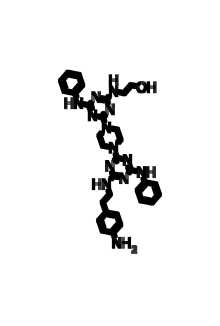 Nc1ccc(CCNc2nc(Nc3ccccc3)nc(N3CCN(c4nc(NCCO)nc(Nc5ccccc5)n4)CC3)n2)cc1